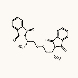 O=C(O)[C@H](CSSC[C@@H](C(=O)O)N1C(=O)c2ccccc2C1=O)N1C(=O)c2ccccc2C1=O